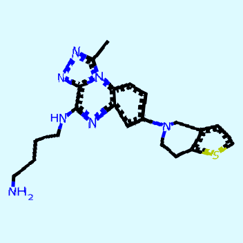 Cc1nnc2c(NCCCCN)nc3cc(N4CCc5sccc5C4)ccc3n12